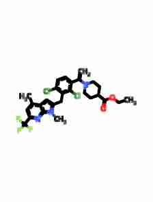 C=C(c1ccc(Cl)c(Cc2cc3c(C)cc(C(F)(F)F)nc3n2C)c1Cl)N1CCC(C(=O)OCC)CC1